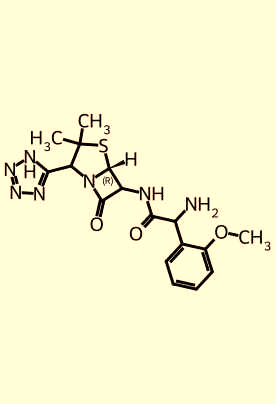 COc1ccccc1C(N)C(=O)NC1C(=O)N2C(c3nnn[nH]3)C(C)(C)S[C@H]12